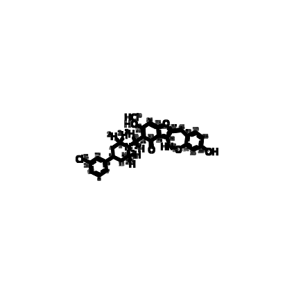 Cl.[2H]C1([2H])CC(c2cccc(Cl)c2)CC([2H])([2H])N1C([2H])([2H])C1=C(O)C=c2oc3c(c2C1=O)NOc1cc(O)ccc1C=3